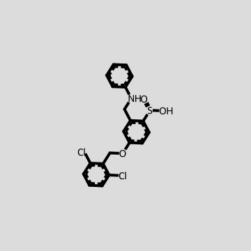 O=S(O)c1ccc(OCc2c(Cl)cccc2Cl)cc1CNc1ccccc1